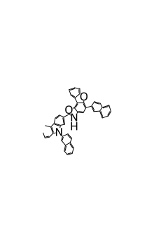 C/C=C\c1c(C)c2ccc(C3Nc4cc(-c5ccc6ccccc6c5)c5oc6ccccc6c5c4O3)cc2n1-c1ccc2ccccc2c1